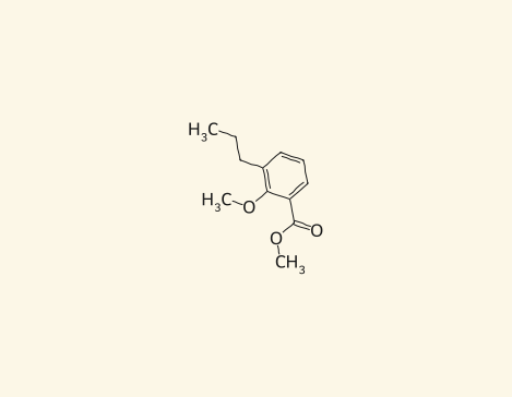 CCCc1cccc(C(=O)OC)c1OC